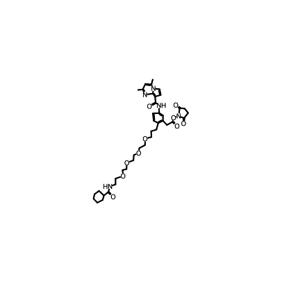 Cc1cc(C)n2ccc(C(=O)Nc3ccc(CCCOCCOCCOCCOCCNC(=O)C4CCCCC4)c(CC(=O)ON4C(=O)CCC4=O)c3)c2n1